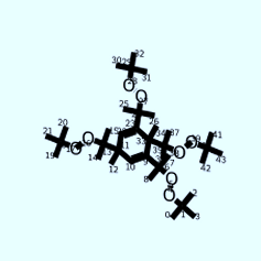 CC(C)(C)OOC(C)(C)C1=CC(C)(C(C)(C)OOC(C)(C)C)C=C(C(C)(C)OOC(C)(C)C)C1(C)C(C)(C)OOC(C)(C)C